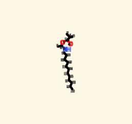 C=C(C)C(=O)OC(C)NCCCCCCCCCCCC